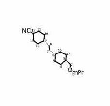 CCCOC[C@H]1CC[C@H](CC[C@H]2CC[C@H](C#N)CC2)CC1